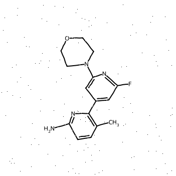 Cc1ccc(N)nc1-c1cc(F)nc(N2CCOCC2)c1